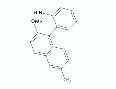 COc1ccc2cc(C)ccc2c1-c1ccccc1N